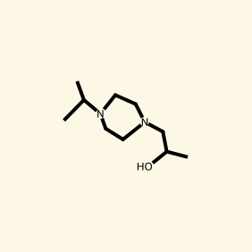 CC(O)CN1CCN(C(C)C)CC1